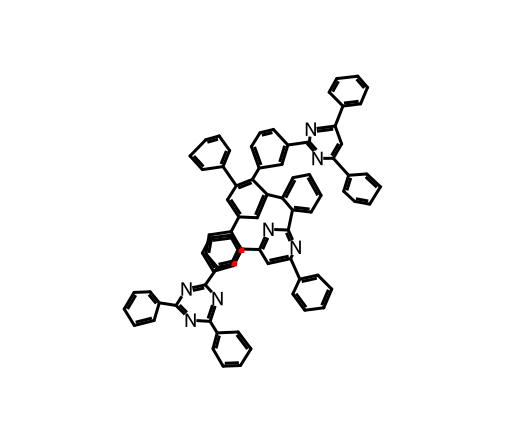 c1ccc(-c2cc(-c3ccccc3)nc(-c3cccc(-c4c(-c5ccccc5)cc(-c5ccc(-c6nc(-c7ccccc7)nc(-c7ccccc7)n6)cc5)cc4-c4ccccc4-c4nc(-c5ccccc5)cc(-c5ccccc5)n4)c3)n2)cc1